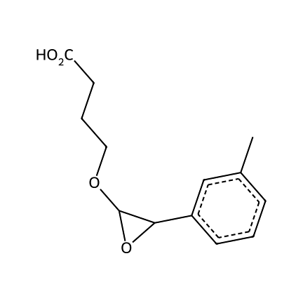 Cc1cccc(C2OC2OCCCC(=O)O)c1